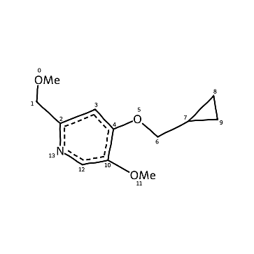 COCc1cc(OCC2CC2)c(OC)cn1